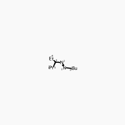 CCC(C)N=NC(CC)C(C)C